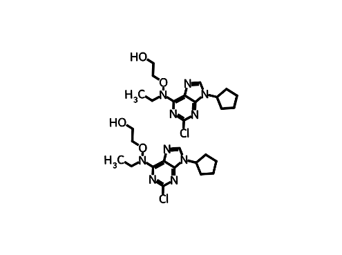 CCN(OCCO)c1nc(Cl)nc2c1ncn2C1CCCC1.CCN(OCCO)c1nc(Cl)nc2c1ncn2C1CCCC1